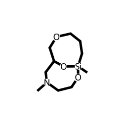 CN1CCO[Si]2(C)CCCOCC(C1)O2